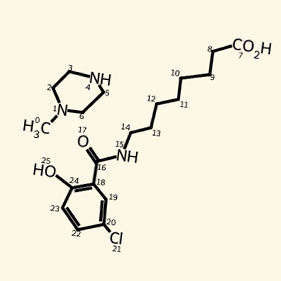 CN1CCNCC1.O=C(O)CCCCCCCNC(=O)c1cc(Cl)ccc1O